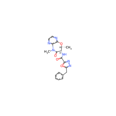 C[C@H]1Oc2nccnc2N(C)C(=O)[C@H]1NC(=O)c1nnc(Cc2ccccc2)o1